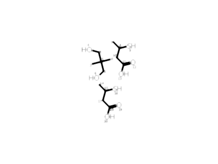 CC(C)(CO)CO.CC(S)CC(=O)O.CC(S)CC(=O)O